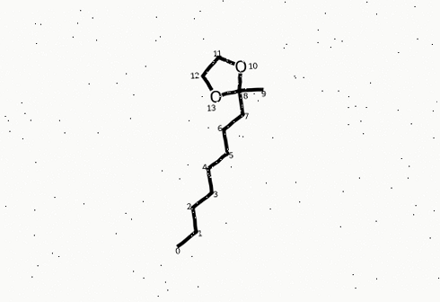 CCCCCCCCC1(C)OCCO1